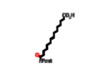 CCCCCC(=O)C=CC=CCC=CCCCCCCC(=O)O